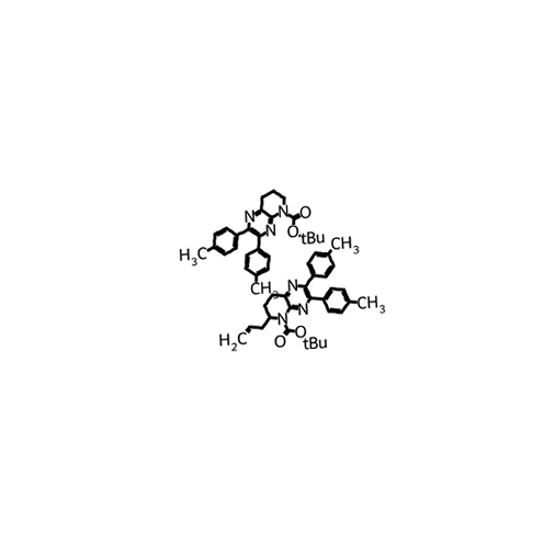 C=CCC1CCc2nc(-c3ccc(C)cc3)c(-c3ccc(C)cc3)nc2N1C(=O)OC(C)(C)C.Cc1ccc(-c2nc3c(nc2-c2ccc(C)cc2)N(C(=O)OC(C)(C)C)CCC3)cc1